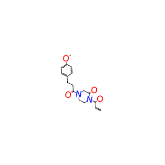 C=CC(=O)N1CCN(C(=O)CCc2ccc(OC)cc2)CC1=O